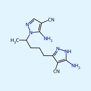 CC(CCCc1n[nH]c(N)c1C#N)n1ncc(C#N)c1N